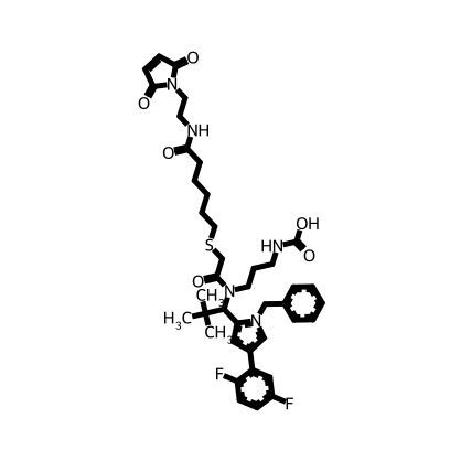 CC(C)(C)C(c1cc(-c2cc(F)ccc2F)cn1Cc1ccccc1)N(CCCNC(=O)O)C(=O)CSCCCCCC(=O)NCCN1C(=O)C=CC1=O